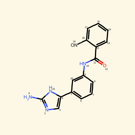 Nc1ncc(-c2cccc(NC(=O)c3ccccc3N=O)c2)[nH]1